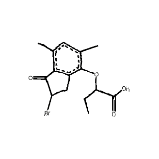 CCC(Oc1c(C)cc(C)c2c1CC(Br)C2=O)C(=O)O